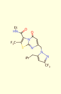 CCNC(=O)c1c(C(F)(F)F)sc2nc(Cn3nc(C(F)(F)F)cc3CC(C)C)cc(=O)n12